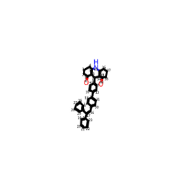 O=C1CCCC2=C1C(c1ccc(-c3ccc(C=C(c4ccccc4)c4ccccc4)cc3)cc1)C1=C(CCCC1=O)N2